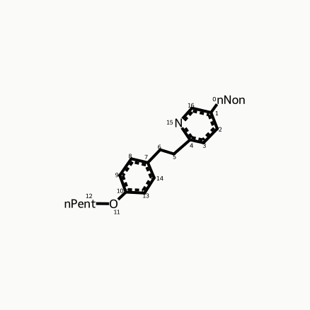 CCCCCCCCCc1ccc(CCc2ccc(OCCCCC)cc2)nc1